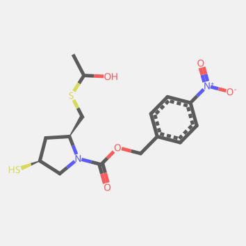 CC(O)SC[C@@H]1C[C@H](S)CN1C(=O)OCc1ccc([N+](=O)[O-])cc1